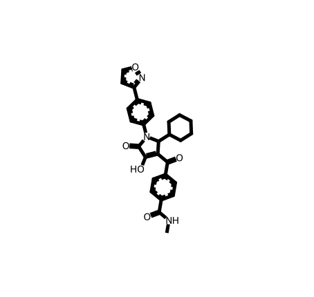 CNC(=O)c1ccc(C(=O)C2=C(O)C(=O)N(c3ccc(-c4ccon4)cc3)C2C2CCCCC2)cc1